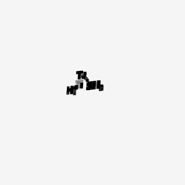 [Hf].[SiH3][Ta].[Ti]